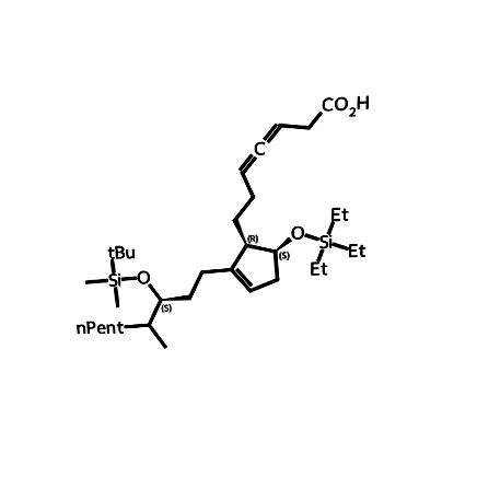 CCCCCC(C)[C@H](CCC1=CC[C@H](O[Si](CC)(CC)CC)[C@@H]1CCC=C=CCC(=O)O)O[Si](C)(C)C(C)(C)C